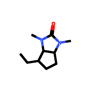 CCC1CCC2C1N(C)C(=O)N2C